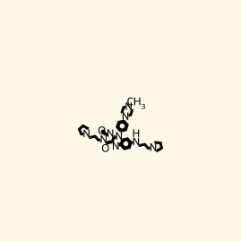 CN1CCN(c2ccc(-n3c4nc(=O)n(CCCN5CCCC5)c(=O)c-4nc4ccc(NCCCN5CCCC5)cc43)cc2)CC1